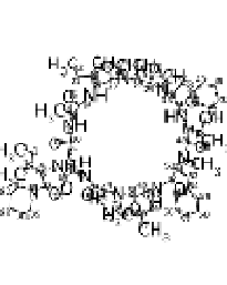 CC[C@H](C)[C@H](NC(=O)[C@@H]1CC(=O)N[C@@H](C)C(=O)N[C@@H]([C@@H](C)CC)C(=O)N(C)[C@@H](C)C(=O)N(C)[C@@H](Cc2ccccc2)C(=O)N[C@@H]([C@@H](C)O)C(=O)N(C)[C@@H](Cc2ccccc2)C(=O)N[C@@H](CC(C)C)C(=O)N2CCC[C@H]2C(=O)N1)C(=O)N1CCCCC1